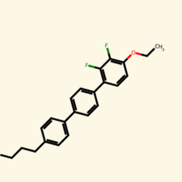 CCCCc1ccc(-c2ccc(-c3ccc(OCC)c(F)c3F)cc2)cc1